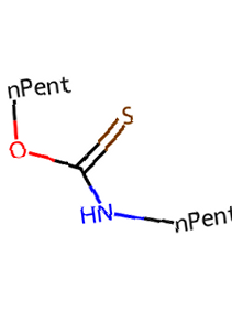 CCCCCNC(=S)OCCCCC